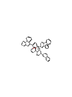 c1ccc(-c2ccc(-c3ccc4ccccc4c3)cc2N(c2ccc(-c3cc4ccccc4c4ccccc34)cc2)c2ccc3c(c2)oc2ccccc23)cc1